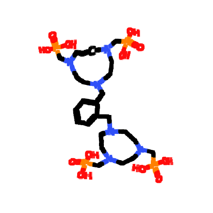 O=P(O)(O)CN1CCN(Cc2ccccc2CN2CCN(CP(=O)(O)O)CCN(CP(=O)(O)O)CC2)CCN(CP(=O)(O)O)CC1